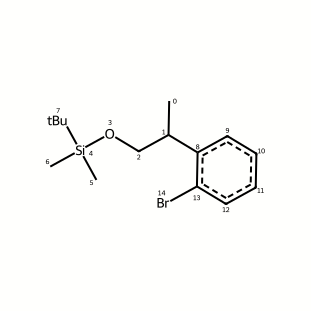 CC(CO[Si](C)(C)C(C)(C)C)c1ccccc1Br